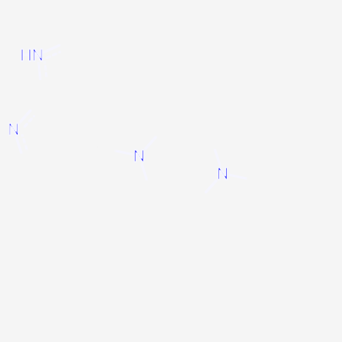 c1ccc(CN2CCN(c3ccnc4[nH]ccc34)CC2)cc1